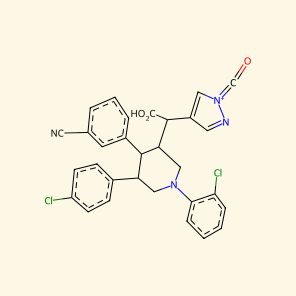 N#Cc1cccc(C2C(c3ccc(Cl)cc3)CN(c3ccccc3Cl)CC2C(C(=O)O)C2=C[N+](=C=O)N=C2)c1